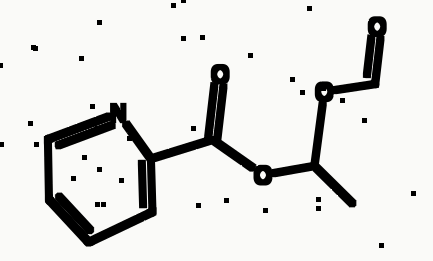 CC(OC=O)OC(=O)c1ccccn1